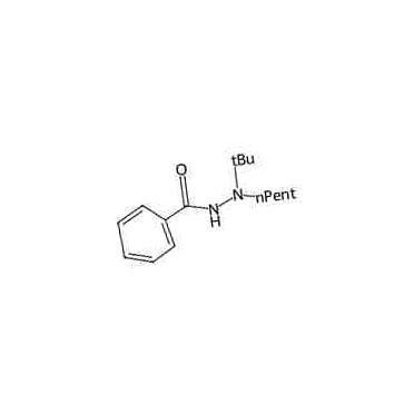 CCCCCN(NC(=O)c1ccccc1)C(C)(C)C